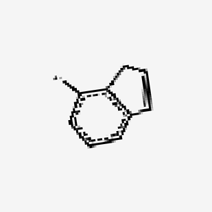 Brc1cccc2c1C[C]=C2